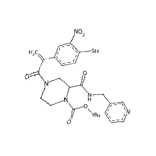 C=C(C(=O)N1CCN(C(=O)OC(C)(C)C)C(C(=O)NCc2cccnc2)C1)c1ccc(S)c([N+](=O)[O-])c1